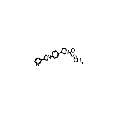 COCC(=O)N1CCC(c2ccc(N3CC(c4cccnc4)C3)cc2)C1